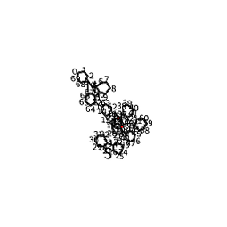 c1ccc(-n2c3ccccc3c3c(-c4ccc(N(c5ccc(-c6cccc7sc8ccccc8c67)cc5)c5cccc6c5C5(c7ccccc7-c7ccccc75)c5ccccc5-6)cc4)cccc32)cc1